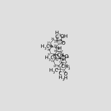 CC1(C)C(O)CC[C@@]2(C)C1CC[C@]1(C)[C@@H]2C(=O)C=C2[C@@H]3C[C@@](C)(C(=O)O)CC[C@]3(C)CC[C@]21C